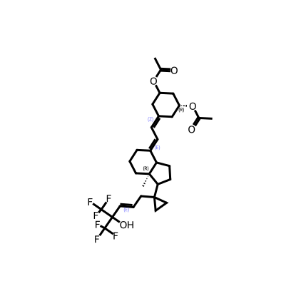 CC(=O)OC1C/C(=C/C=C2\CCC[C@@]3(C)C2CCC3C2(C/C=C/C(O)(C(F)(F)F)C(F)(F)F)CC2)C[C@@H](OC(C)=O)C1